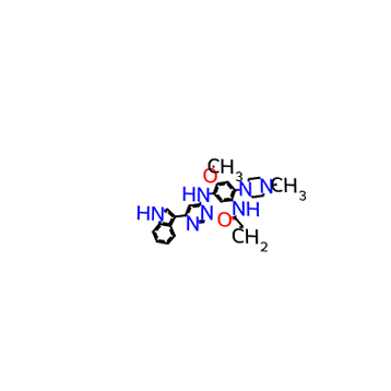 C=CC(=O)Nc1cc(Nc2cc(-c3c[nH]c4ccccc34)ncn2)c(OC)cc1N1CCN(C)CC1